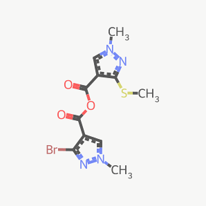 CSc1nn(C)cc1C(=O)OC(=O)c1cn(C)nc1Br